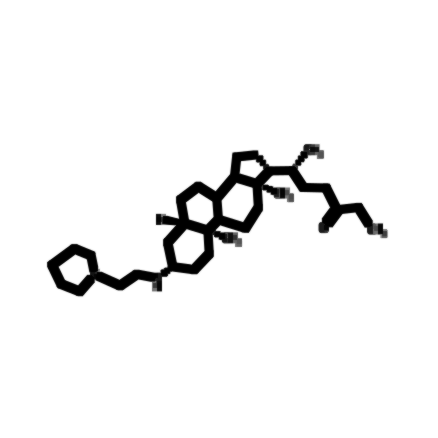 CCC(=O)CC[C@@H](C)[C@H]1CCC2C3CC[C@H]4C[C@@H](NCCN5CCCCC5)CC[C@]4(C)C3CC[C@@]21C